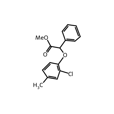 COC(=O)C(Oc1ccc(C)cc1Cl)c1ccccc1